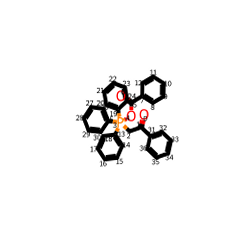 O=C(CP(OC(=O)c1ccccc1)(c1ccccc1)(c1ccccc1)c1ccccc1)c1ccccc1